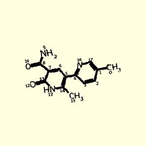 Cc1ccc(-c2cc(C(N)=O)c(=O)[nH]c2C)nc1